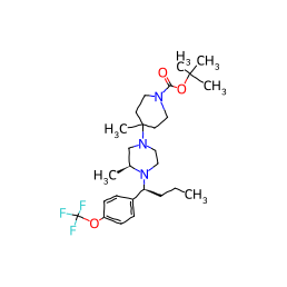 CCC[C@@H](c1ccc(OC(F)(F)F)cc1)N1CCN(C2(C)CCN(C(=O)OC(C)(C)C)CC2)C[C@@H]1C